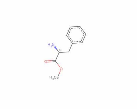 N[C@@H](Cc1ccccc1)C(=O)[O][GeH3]